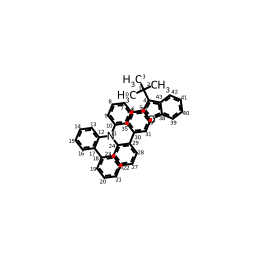 CC(C)(C)c1c(-c2cccc(N(c3ccccc3-c3ccccc3)c3ccccc3-c3ccccc3)c2)oc2ccccc12